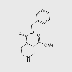 COC(=O)C1CNCCN1C(=O)OCc1ccccc1